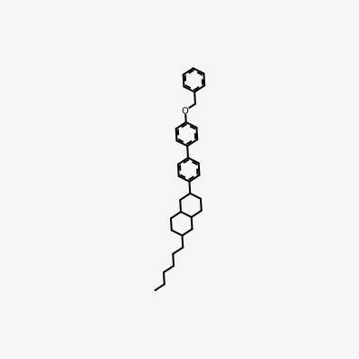 CCCCCCC1CCC2CC(c3ccc(-c4ccc(OCc5ccccc5)cc4)cc3)CCC2C1